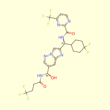 O=C(CCC(F)(F)F)N[C@H](O)c1cnn2cc([C@@H](NC(=O)c3nccc(C(F)(F)F)n3)C3CCC(F)(F)CC3)nc2c1